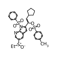 CC[S+]([O-])c1cnc2c(c1)cc(/C(=C/C1CCCC1)OS(=O)(=O)c1ccc(C)cc1)n2S(=O)(=O)c1ccccc1